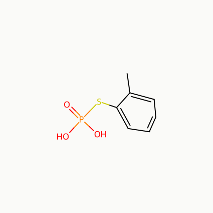 Cc1ccccc1SP(=O)(O)O